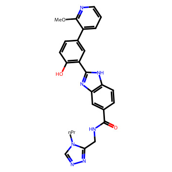 CCCn1cnnc1CNC(=O)c1ccc2[nH]c(-c3cc(-c4cccnc4OC)ccc3O)nc2c1